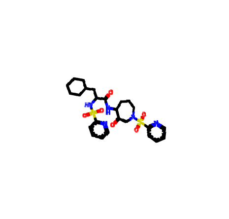 O=C1CN(S(=O)(=O)c2ccccn2)CCCC1NC(=O)C(CC1CCCCC1)NS(=O)(=O)c1ccccn1